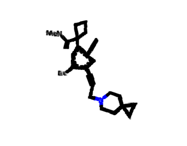 C=C(NC)C1(c2cc(CC)c(C#CCN3CCC4(CC3)CC4)cc2C)CCC1